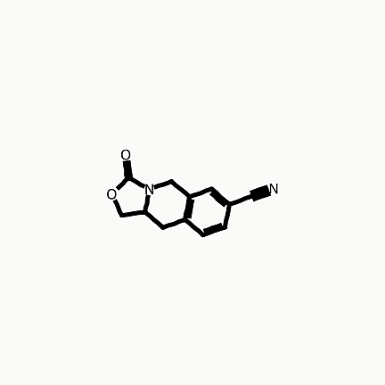 N#Cc1ccc2c(c1)CN1C(=O)OCC1C2